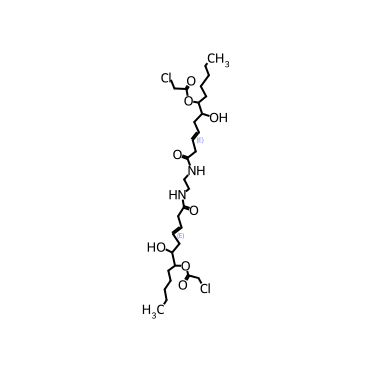 CCCCCC(OC(=O)CCl)C(O)C/C=C/CC(=O)NCCNC(=O)C/C=C/CC(O)C(CCCCC)OC(=O)CCl